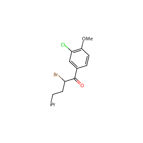 COc1ccc(C(=O)C(Br)CCC(C)C)cc1Cl